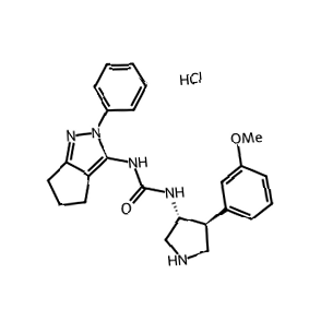 COc1cccc([C@H]2CNC[C@@H]2NC(=O)Nc2c3c(nn2-c2ccccc2)CCC3)c1.Cl